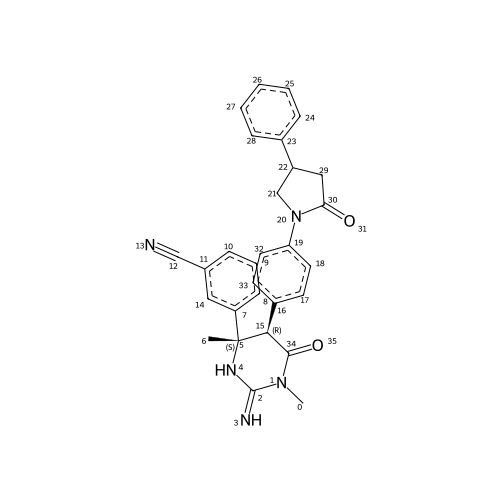 CN1C(=N)N[C@](C)(c2cccc(C#N)c2)[C@@H](c2ccc(N3CC(c4ccccc4)CC3=O)cc2)C1=O